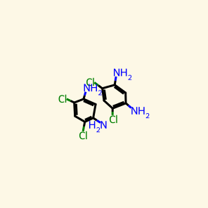 Nc1cc(N)c(Cl)cc1Cl.Nc1cc(N)c(Cl)cc1Cl